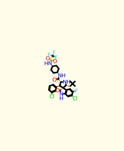 CC(C)(C)C[C@H]1N[C@@H](C(=O)N[C@H]2CC[C@@H](NS(=O)(=O)C(F)(F)F)CC2)[C@H](c2cccc(Cl)c2)[C@@]12C(=O)Nc1cc(Cl)c(F)cc12